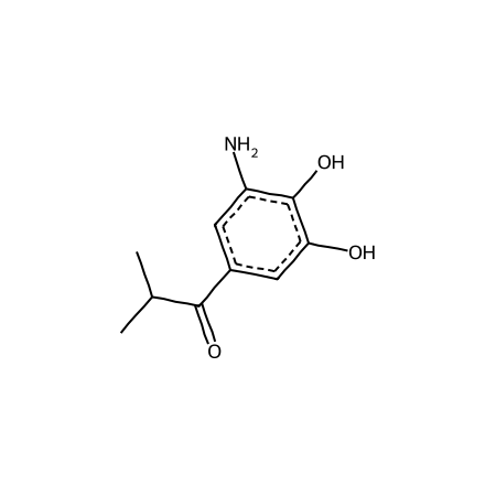 CC(C)C(=O)c1cc(N)c(O)c(O)c1